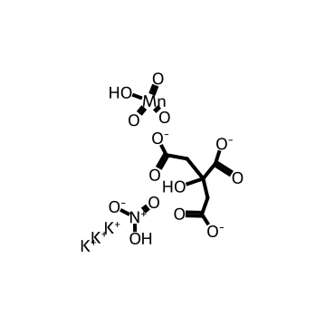 O=C([O-])CC(O)(CC(=O)[O-])C(=O)[O-].O=[N+]([O-])O.[K+].[K+].[K+].[O]=[Mn](=[O])(=[O])[OH]